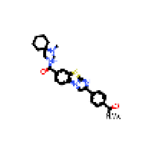 CNC(=O)c1ccc(-c2cn3c(n2)sc2cc(C(=O)NCC4(N(C)C)CCCCC4)ccc23)cc1